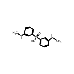 CNc1cccc(P(=O)(O)c2cccc(NC)c2)c1